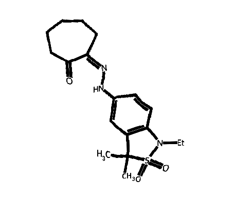 CCN1c2ccc(N/N=C3/CCCCCC3=O)cc2C(C)(C)S1(=O)=O